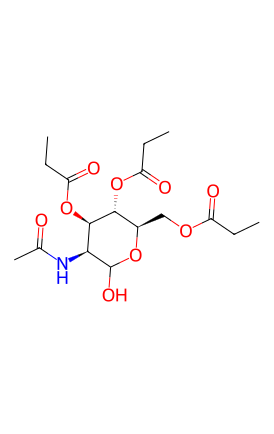 CCC(=O)OC[C@H]1OC(O)[C@@H](NC(C)=O)[C@@H](OC(=O)CC)[C@@H]1OC(=O)CC